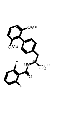 COc1cccc(OC)c1-c1ccc(C[C@H](NC(=O)c2c(F)cccc2F)C(=O)O)cc1